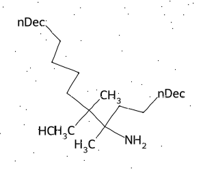 CCCCCCCCCCCCCCC(C)(C)C(C)(N)CCCCCCCCCCCC.Cl